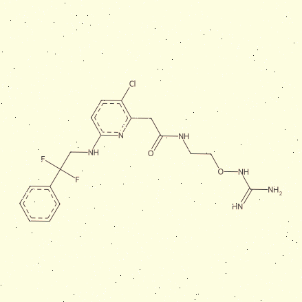 N=C(N)NOCCNC(=O)Cc1nc(NCC(F)(F)c2ccccc2)ccc1Cl